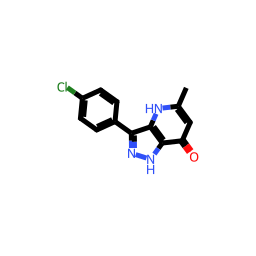 Cc1cc(=O)c2[nH]nc(-c3ccc(Cl)cc3)c2[nH]1